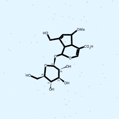 COC1C=C(CO)C2C(O[C@@H]3O[C@H](CO)[C@@H](O)[C@H](O)[C@H]3O)OC=C(C(=O)O)C12